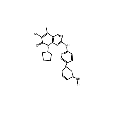 CCNN1C=CCN(c2ccc(Nc3ncc4c(C)c(C(C)=O)c(=O)n(C5CCCC5)c4n3)nc2)C1